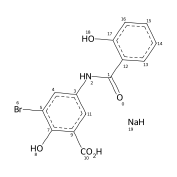 O=C(Nc1cc(Br)c(O)c(C(=O)O)c1)c1ccccc1O.[NaH]